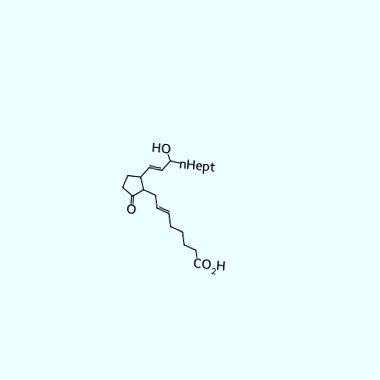 CCCCCCCC(O)C=CC1CCC(=O)C1CC=CCCCCC(=O)O